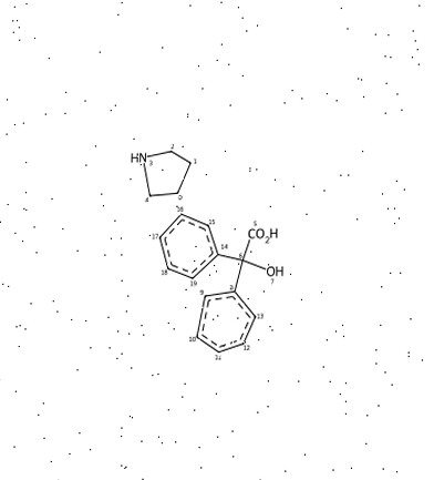 C1CCNC1.O=C(O)C(O)(c1ccccc1)c1ccccc1